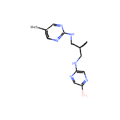 Bc1cnc(NCC(C)CNc2ncc(SC)cn2)cn1